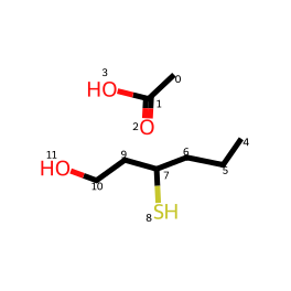 CC(=O)O.CCCC(S)CCO